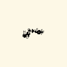 O=C(N1CC(OCc2ccc(C(F)(F)F)cc2F)C1)N1CC2COc3cn[nH]c3C2C1